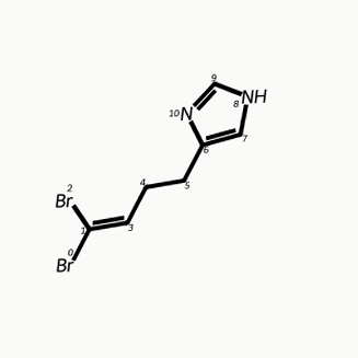 BrC(Br)=CCCc1c[nH]cn1